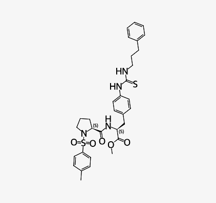 COC(=O)[C@H](Cc1ccc(NC(=S)NCCCc2ccccc2)cc1)NC(=O)[C@@H]1CCCN1S(=O)(=O)c1ccc(C)cc1